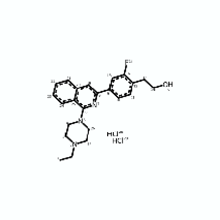 CCN1CCN(c2nc(-c3ccc(CCO)c(F)c3)cc3ccccc23)CC1.Cl.Cl